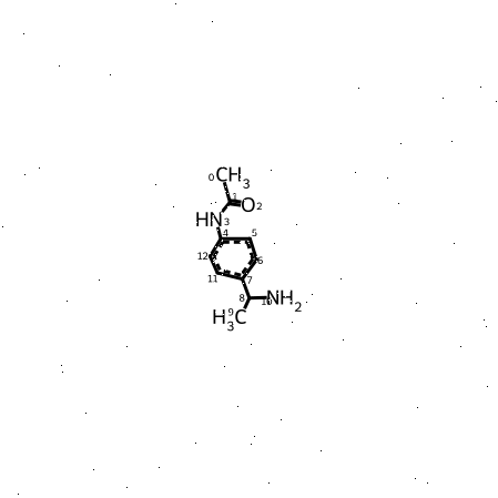 CC(=O)Nc1ccc(C(C)N)cc1